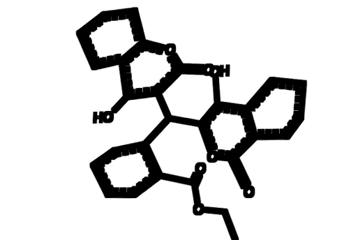 CCOC(=O)c1ccccc1C(c1oc(=O)c2ccccc2c1O)c1c(O)c2ccccc2oc1=O